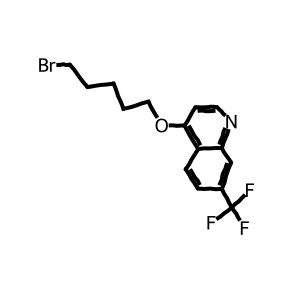 FC(F)(F)c1ccc2c(OCCCCCBr)ccnc2c1